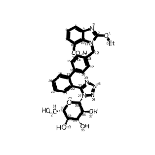 CCOc1nc2cccc(C(=O)O)c2n1Cc1ccc(-c2ccccc2-c2nnnn2[C@H]2O[C@@H](C(=O)O)[C@H](O)[C@@H](O)[C@@H]2O)cc1